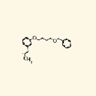 C[CH]Cc1cccc(OCCCCOCc2ccccc2)c1